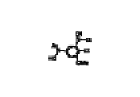 CCc1c(OC)cc(N(O)C(C)=O)cc1N(C#N)CC